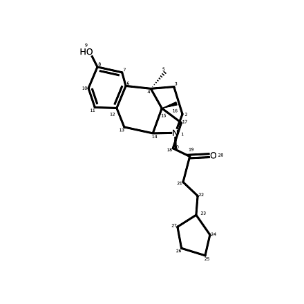 CN1CC[C@]2(C)c3cc(O)ccc3CC1[C@@]2(C)CCC(=O)CCC1CCCC1